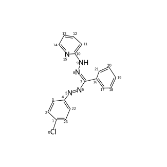 Clc1ccc(N=NC(=NNc2ccccn2)c2ccccc2)cc1